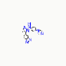 Cc1cnc(Nc2ccc(N3CCN(C)CC3)cc2)nc1-c1ccc2c(c1)ncn2C